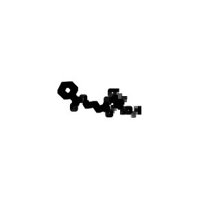 O=C(CCCOC(=O)C1CCCCC1)OC(C(F)(F)F)C(F)(F)S(=O)(=O)O